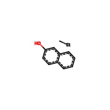 CCC.Oc1ccc2ccccc2c1